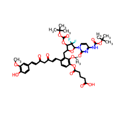 COc1cc(/C=C/C(=O)CC(=O)/C=C/c2ccc(OC(=O)CCCC(=O)O)c(OC)c2CC2OC(n3ccc(NC(=O)OC(C)(C)C)nc3=O)C(F)(F)C2OC(=O)OC(C)(C)C)ccc1O